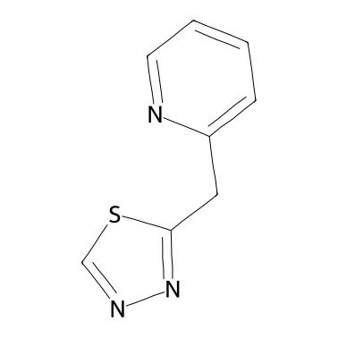 c1ccc(Cc2nncs2)nc1